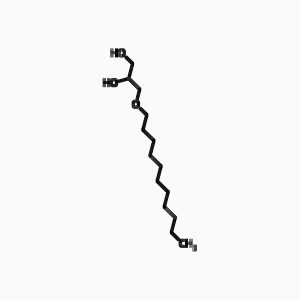 CCCCCCCCCCCOCC(O)CO